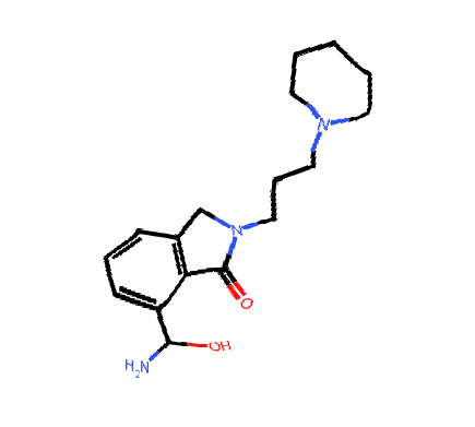 NC(O)c1cccc2c1C(=O)N(CCCN1CCCCC1)C2